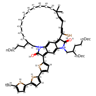 CCCCCCCCCCCCC(CCCCCCCCCC)CN1C(=O)C2=c3cc4c(cc31)=C(c1ccc(-c3ccc(-c5ccc(C(C)(C)C)s5)s3)s1)C(=O)N4CC(CCCCCCCCCCCC)CCCCCCCCCCC(C)(C)/C=C/C=C/2S